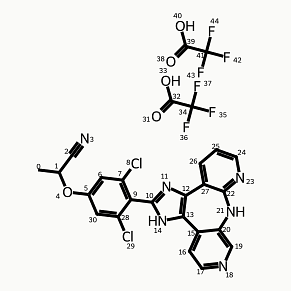 CC(C#N)Oc1cc(Cl)c(-c2nc3c([nH]2)-c2ccncc2Nc2ncccc2-3)c(Cl)c1.O=C(O)C(F)(F)F.O=C(O)C(F)(F)F